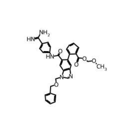 COCOC(=O)c1ccccc1-c1cc2ncn(COCc3ccccc3)c2cc1C(=O)Nc1ccc(C(=N)N)cc1